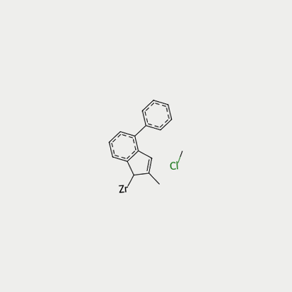 CC1=Cc2c(-c3ccccc3)cccc2[CH]1[Zr].CCl